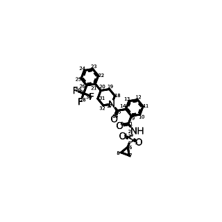 O=C(NS(=O)(=O)C1CC1)c1ccccc1C(=O)N1CCC(c2ccccc2C(F)(F)F)CC1